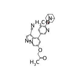 CON1C2CC1CN(c1ccc(-c3cc(OCC(C)=O)cn4ncc(C#N)c34)cn1)C2